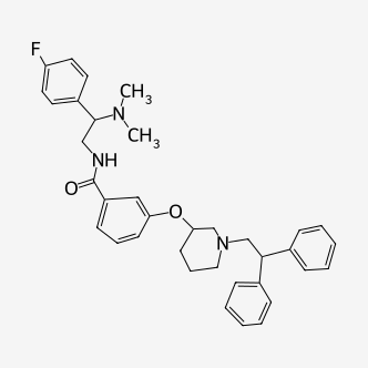 CN(C)C(CNC(=O)c1cccc(OC2CCCN(CC(c3ccccc3)c3ccccc3)C2)c1)c1ccc(F)cc1